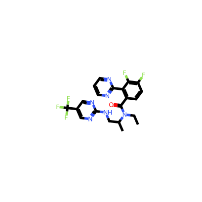 CCN(C(=O)c1ccc(F)c(F)c1-c1ncccn1)C(C)CNc1ncc(C(F)(F)F)cn1